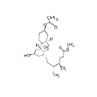 CC[C@H](CC[C@@H]1C[C@@H](O)C[C@H]2C1CC[C@@H]1C[C@H](OC(C)=O)CC[C@@]12C)[C@H](C)CCC(=O)OC